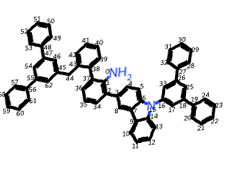 Nc1c(-c2ccc3c(c2)c2ccccc2n3-c2cc(-c3ccccc3)cc(-c3ccccc3)c2)cccc1-c1ccccc1Cc1cc(-c2ccccc2)cc(-c2ccccc2)c1